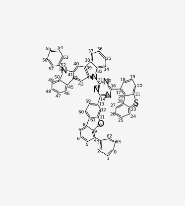 c1ccc(-c2cccc3c2oc2cc(-c4nc(-c5cccc6sc7ccccc7c56)nc(-n5c6ccccc6c6cc7c(cc65)c5ccccc5n7-c5ccccc5)n4)ccc23)cc1